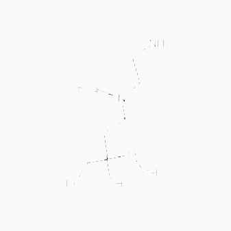 COC(C)(CCN([SiH3])CCN)OC